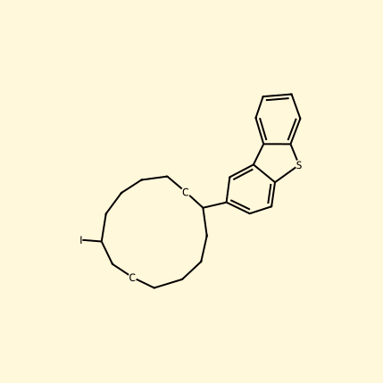 IC1CCCCCCC(c2ccc3sc4ccccc4c3c2)CCCCC1